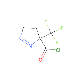 O=C(Cl)C1(C(F)(F)F)C=CN=N1